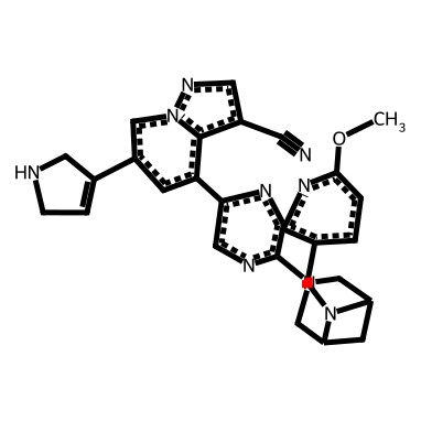 COc1ccc(CN2C3CC2CN(c2cnc(-c4cc(C5=CCNC5)cn5ncc(C#N)c45)cn2)C3)cn1